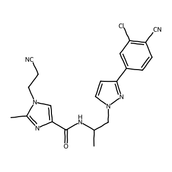 Cc1nc(C(=O)NC(C)Cn2ccc(-c3ccc(C#N)c(Cl)c3)n2)cn1CCC#N